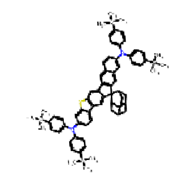 C[Si](C)(C)c1ccc(N(c2ccc([Si](C)(C)C)cc2)c2ccc3cc4c(cc3c2)C2(c3cc5c(cc3-4)sc3cc(N(c4ccc([Si](C)(C)C)cc4)c4ccc([Si](C)(C)C)cc4)ccc35)C3CC4CC(C3)CC2C4)cc1